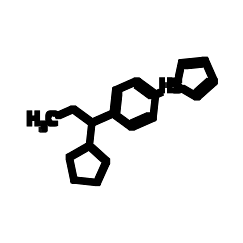 CCC(c1ccc([SH]2C=CC=C2)cc1)C1CCCC1